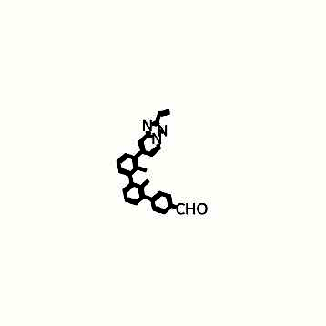 C=Cc1nc2cc(-c3cccc(-c4cccc(-c5ccc(C=O)cc5)c4C)c3C)ccn2n1